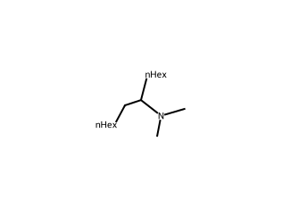 CCCCCCCC(CCCCCC)N(C)C